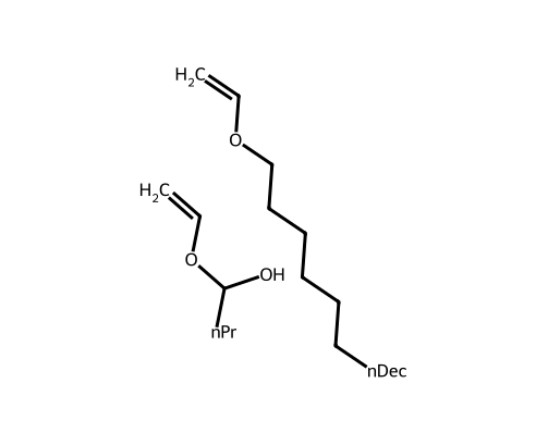 C=COC(O)CCC.C=COCCCCCCCCCCCCCCCC